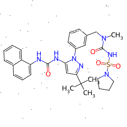 CN(Cc1cccc(-n2nc(C(C)(C)C)cc2NC(=O)Nc2cccc3ccccc23)c1)C(=O)NS(=O)(=O)N1CCCC1